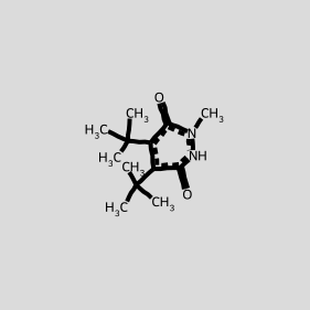 Cn1[nH]c(=O)c(C(C)(C)C)c(C(C)(C)C)c1=O